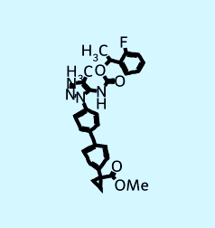 COC(=O)C1(c2ccc(-c3ccc(-n4nnc(C)c4NC(=O)OC(C)c4ccccc4F)cc3)cc2)CC1